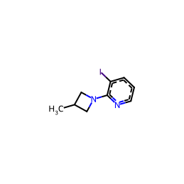 CC1CN(c2ncccc2I)C1